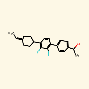 CCCC(O)c1ccc(-c2ccc(C3CCC(=COC)CC3)c(F)c2F)cc1